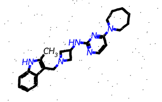 Cc1[nH]c2ccccc2c1CN1CC(Nc2nccc(N3CCCCCC3)n2)C1